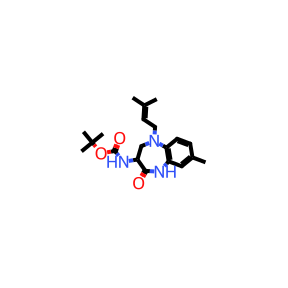 CC(C)=CCN1CC(NC(=O)OC(C)(C)C)C(=O)Nc2cc(C)ccc21